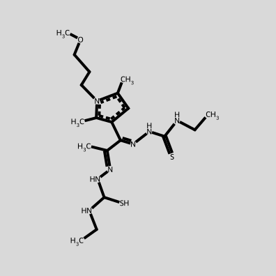 CCNC(=S)N/N=C(/C(C)=N/NC(S)NCC)c1cc(C)n(CCCOC)c1C